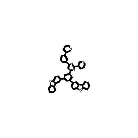 c1cncc(-c2cccc(-c3cc(-c4cc(-c5ccc6oc7ccccc7c6c5)cc(-c5ccc6oc7ccccc7c6c5)c4)nc(-c4cccnc4)n3)c2)c1